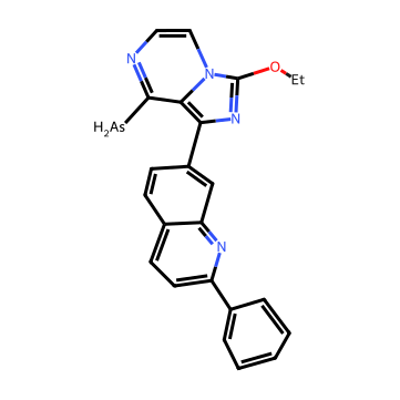 CCOc1nc(-c2ccc3ccc(-c4ccccc4)nc3c2)c2c([AsH2])nccn12